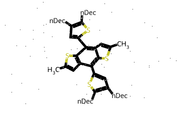 CCCCCCCCCCc1cc(-c2c3cc(C)sc3c(-c3cc(CCCCCCCCCC)c(CCCCCCCCCC)s3)c3cc(C)sc23)sc1CCCCCCCCCC